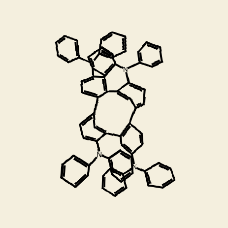 c1ccc(N(c2ccccc2)c2ccc3c4ccc(N(c5ccccc5)c5ccccc5)c(c4)c4cc(N(c5ccccc5)c5ccccc5)ccc4c4ccc(N(c5ccccc5)c5ccccc5)c(c4)c3c2)cc1